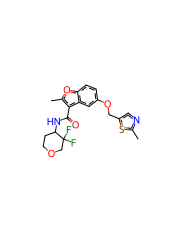 Cc1ncc(COc2ccc3oc(C)c(C(=O)NC4CCOCC4(F)F)c3c2)s1